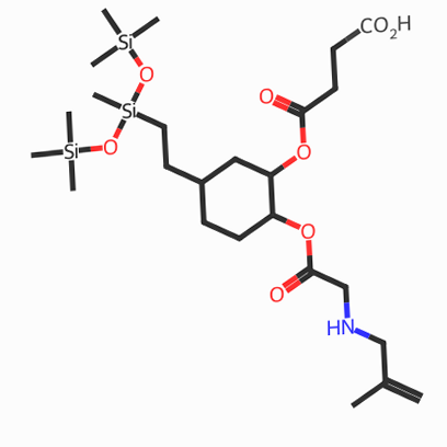 C=C(C)CNCC(=O)OC1CCC(CC[Si](C)(O[Si](C)(C)C)O[Si](C)(C)C)CC1OC(=O)CCC(=O)O